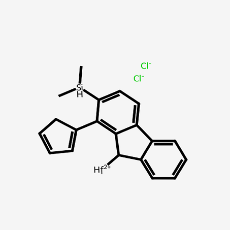 C[SiH](C)c1ccc2c(c1C1=CC=CC1)[CH]([Hf+2])c1ccccc1-2.[Cl-].[Cl-]